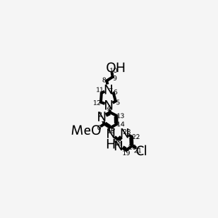 COc1nc(N2CCN(CCO)CC2)ccc1Nc1ncc(Cl)cn1